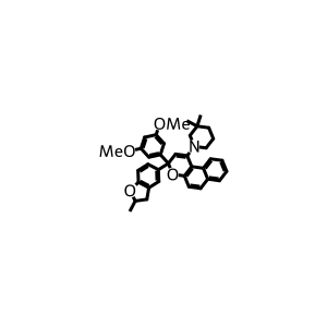 COc1cc(OC)cc(C2(c3ccc4c(c3)CC(C)O4)C=C(N3CCCC(C)(C)C3)c3c(ccc4ccccc34)O2)c1